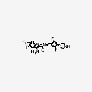 Cc1nc2sc(C(=O)NCCc3cc(F)c(N4CCNCC4)cc3F)c(N)c2cc1F